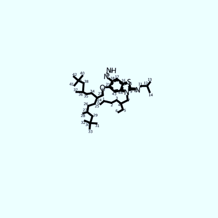 CCCCC(CC)Cn1/c(=N/CC(C)C)sc2cc(N=N)c(OCC(CCC(C)CC(C)(C)C)CCC(C)CC(C)(C)C)cc21